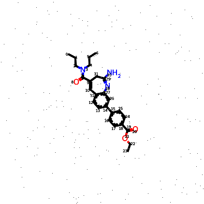 CCCN(CCC)C(=O)C1=Cc2ccc(-c3ccc(C(=O)OCC)cc3)cc2N=C(N)C1